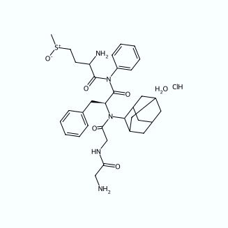 C[S+]([O-])CCC(N)C(=O)N(C(=O)[C@H](Cc1ccccc1)N(C(=O)CNC(=O)CN)C1C2CC3CC(C2)CC1C3)c1ccccc1.Cl.O